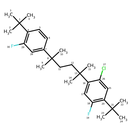 CC(C)(C)c1ccc(C(C)(C)CCC(C)(C)c2cc(F)c(C(C)(C)C)cc2Cl)cc1F